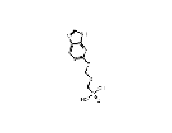 O=P(O)(O)COCOc1ncc2nc[nH]c2n1